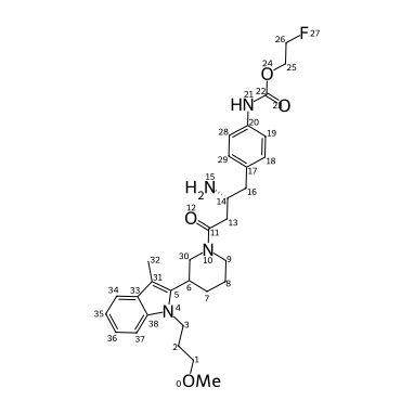 COCCCn1c(C2CCCN(C(=O)C[C@H](N)Cc3ccc(NC(=O)OCCF)cc3)C2)c(C)c2ccccc21